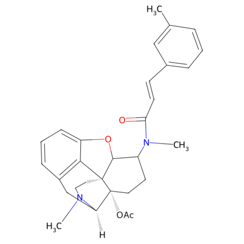 CC(=O)O[C@@]12CCC(N(C)C(=O)/C=C/c3cccc(C)c3)C3Oc4cccc5c4[C@@]31CCN(C)[C@@H]2C5